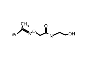 C/C(=N\OCC(=O)NCCO)C(C)C